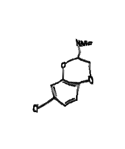 CNC1COc2ccc(Cl)cc2O1